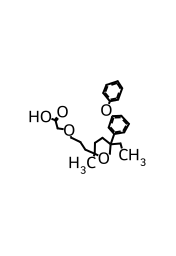 CCC1(c2cccc(Oc3ccccc3)c2)CCC(C)(CCCOCC(=O)O)OC1